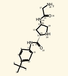 CC(C)(C)c1ccc(NC(=O)[C@@H]2C[C@@H](NC(=O)CN)CN2)cc1